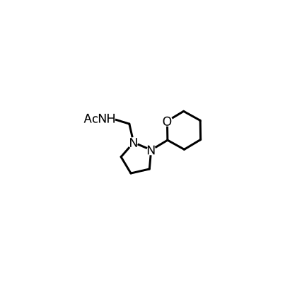 CC(=O)NCN1CCCN1C1CCCCO1